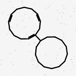 C1=CCCCC=C(C2CCCCCCCCCCCC2)CC=CCCC1